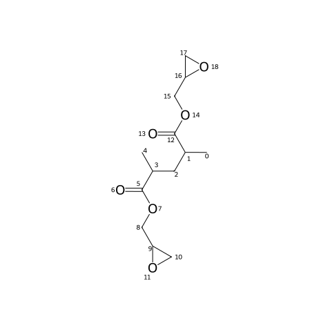 CC(CC(C)C(=O)OCC1CO1)C(=O)OCC1CO1